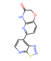 O=C1COc2ccc(-c3[c]cnc4snnc34)nc2N1